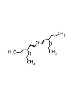 CCCC(C=COC=CC(CCC)OCC)OCC